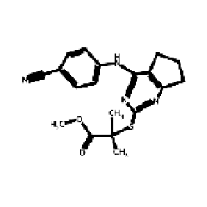 COC(=O)C(C)(C)Sc1nc2c(c(Nc3ccc(C#N)cc3)n1)CCC2